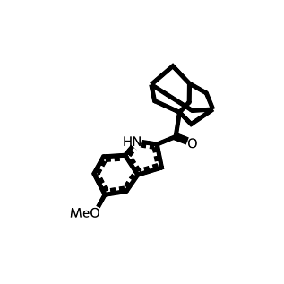 COc1ccc2[nH]c(C(=O)C34CC5CC(CC(C5)C3)C4)cc2c1